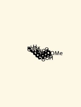 CCCCCCON=Cc1cc2cc3c(c(O)c2c(=O)[nH]1)[C@@]1(CC3)C(=O)c2c(O)c3c(c(O)c2C1=O)C(=O)C(OC)=CC3=O